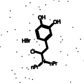 Br.CCCN(CCC)C(Cl)Cc1ccc(O)c(O)c1